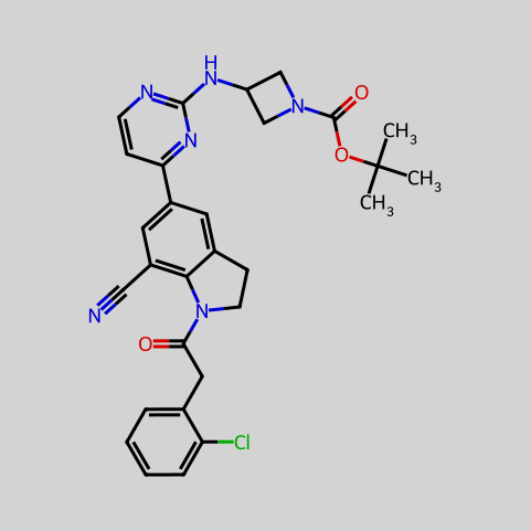 CC(C)(C)OC(=O)N1CC(Nc2nccc(-c3cc(C#N)c4c(c3)CCN4C(=O)Cc3ccccc3Cl)n2)C1